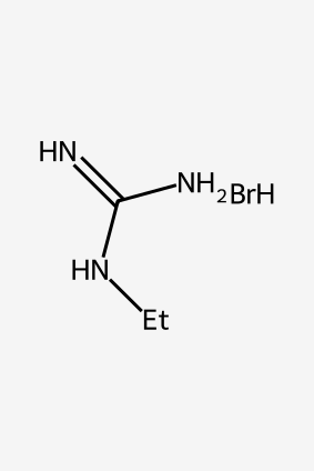 Br.CCNC(=N)N